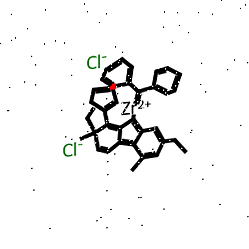 CCc1cc(C)c2c(c1)=[C]([Zr+2]=[C](c1ccccc1)c1ccccc1)C1=C(C3=CC=CC3)C(C)(CC)C=CC=21.[Cl-].[Cl-]